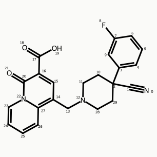 N#CC1(c2cccc(F)c2)CCN(Cc2cc(C(=O)O)c(=O)n3ccccc23)CC1